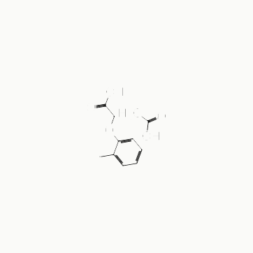 CC(=O)O.O=C(O)COc1ccccc1I